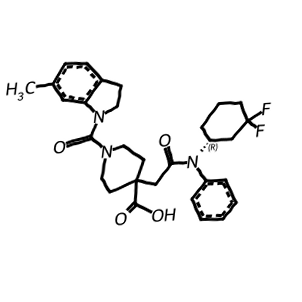 Cc1ccc2c(c1)N(C(=O)N1CCC(CC(=O)N(c3ccccc3)[C@@H]3CCCC(F)(F)C3)(C(=O)O)CC1)CC2